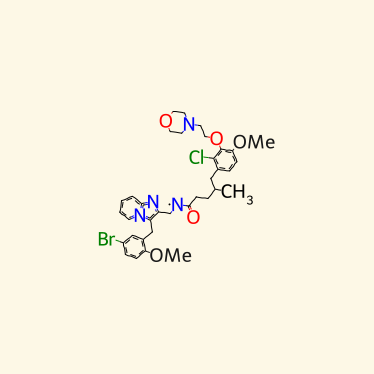 COc1ccc(Br)cc1Cc1c(C[N]C(=O)CCC(C)Cc2ccc(OC)c(OCCN3CCOCC3)c2Cl)nc2ccccn12